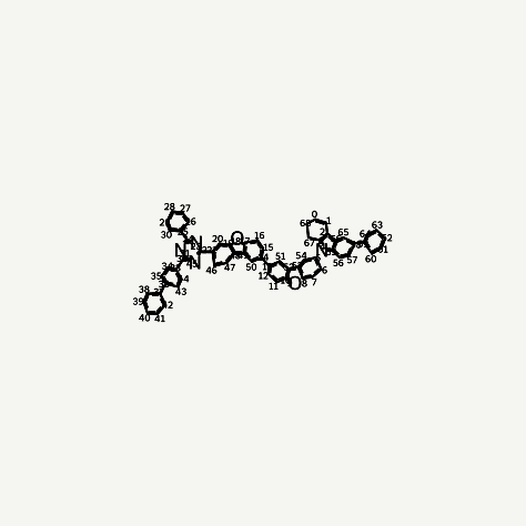 C1=Cc2c(n(-c3ccc4oc5ccc(-c6ccc7oc8cc(-c9nc(-c%10ccccc%10)nc(-c%10ccc(-c%11ccccc%11)cc%10)n9)ccc8c7c6)cc5c4c3)c3ccc(-c4ccccc4)cc23)CC1